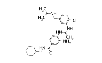 C=C(C)NCc1ccc(Cl)c(NC(=C)Nc2ccc(C(=O)NCC3CCCCC3)cc2N)c1